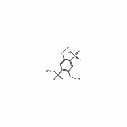 CCCCCC(C)(C)c1cc(OCCC)c(S(=O)(=O)Cl)cc1OCCC